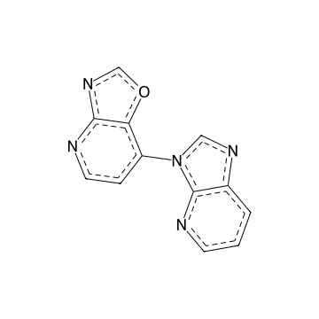 c1cnc2c(c1)ncn2-c1ccnc2ncoc12